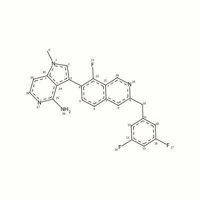 Cn1cc(-c2ccc3cc(Cc4cc(F)cc(F)c4)ncc3c2F)c2c(N)nccc21